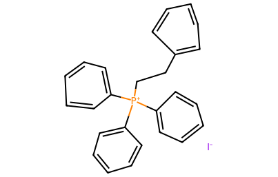 [I-].c1ccc(CC[P+](c2ccccc2)(c2ccccc2)c2ccccc2)cc1